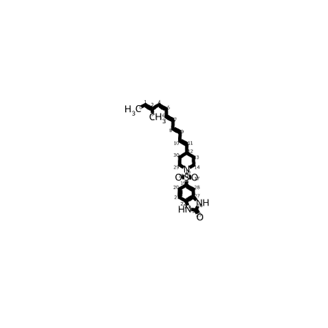 C/C=C(C)/C=C\C=C\C=C\C=C\C1CCN(S(=O)(=O)c2ccc3[nH]c(=O)[nH]c3c2)CC1